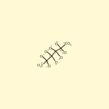 ClC(Cl)(Cl)C(Cl)(Cl)C(Cl)(Cl)C(Cl)(Cl)C(Cl)(Cl)C(Cl)(Cl)Cl